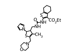 CCOC(=O)c1c(NC(=O)NCC2C(C)=C(CN3CCOCC3)SC2n2cccc2)sc2c1CCCC2